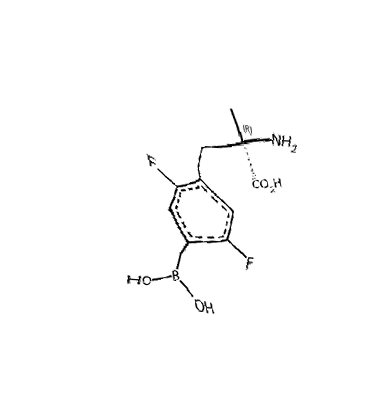 C[C@@](N)(Cc1cc(F)c(B(O)O)cc1F)C(=O)O